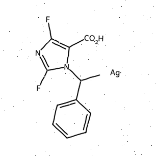 CC(c1ccccc1)n1c(F)nc(F)c1C(=O)O.[Ag]